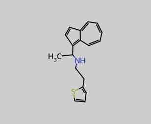 CC(NCCc1cccs1)c1ccc2cccccc1-2